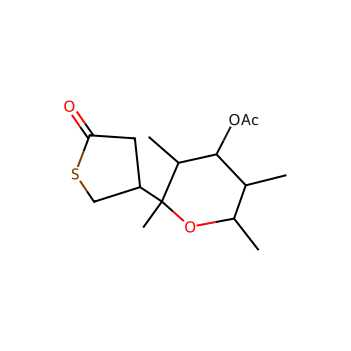 CC(=O)OC1C(C)C(C)OC(C)(C2CSC(=O)C2)C1C